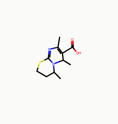 CC1=C(C(=O)O)C(C)N2C(=N1)SCCC2C